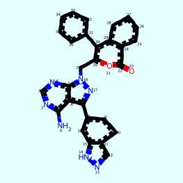 Nc1ncnc2c1c(-c1ccc3cn[nH]c3c1)nn2Cc1oc(=O)c2ccccc2c1-c1ccccc1